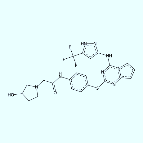 O=C(CN1CCC(O)C1)Nc1ccc(Sc2nc(Nc3cc(C(F)(F)F)[nH]n3)n3cccc3n2)cc1